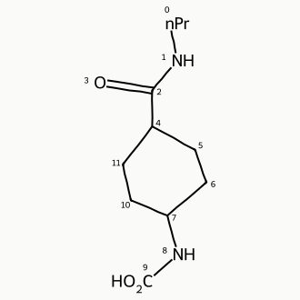 CCCNC(=O)C1CCC(NC(=O)O)CC1